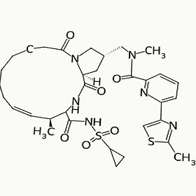 Cc1nc(-c2cccc(C(=O)N(C)C[C@@H]3C[C@H]4C(=O)NC(C(=O)NS(=O)(=O)C5CC5)[C@@H](C)/C=C\CCCCCCC(=O)N4C3)n2)cs1